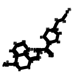 CC(=O)N1CC/C(=N/NC(=S)N2CCN(CCF)CC2)c2ncccc21